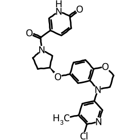 Cc1cc(N2CCOc3ccc(O[C@H]4CCN(C(=O)c5ccc(=O)[nH]c5)C4)cc32)cnc1Cl